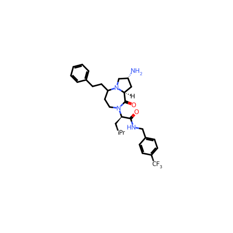 CC(C)C[C@H](C(=O)NCc1ccc(C(F)(F)F)cc1)N1CCC(CCc2ccccc2)N2C[C@H](N)C[C@H]2C1=O